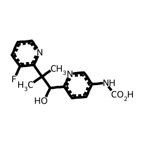 CC(C)(c1ncccc1F)C(O)c1ccc(NC(=O)O)cn1